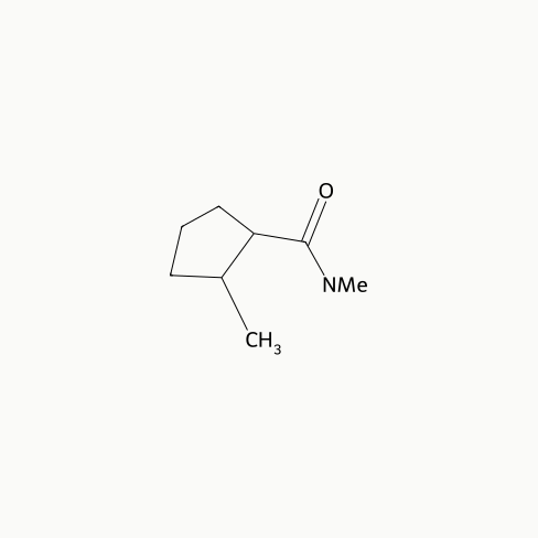 CNC(=O)C1CCCC1C